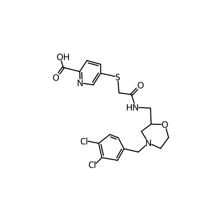 O=C(CSc1ccc(C(=O)O)nc1)NCC1CN(Cc2ccc(Cl)c(Cl)c2)CCO1